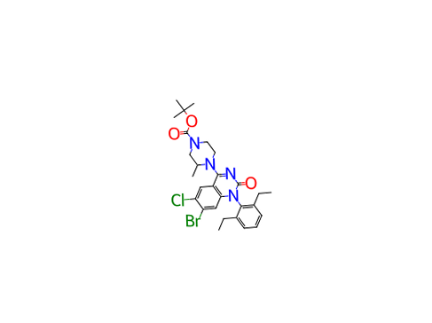 CCc1cccc(CC)c1-n1c(=O)nc(N2CCN(C(=O)OC(C)(C)C)CC2C)c2cc(Cl)c(Br)cc21